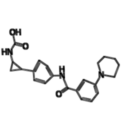 O=C(O)NC1CC1c1ccc(NC(=O)c2cccc(N3CCCCC3)c2)cc1